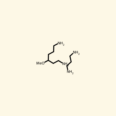 COC(CCN)CCCN.NCCCN